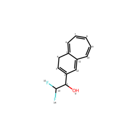 OC(C1=CCC2=CC=CC=CC2=C1)C(F)F